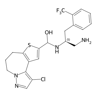 NC[C@H](Cc1ccccc1C(F)(F)F)NC(O)c1cc2c(s1)CCCn1ncc(Cl)c1-2